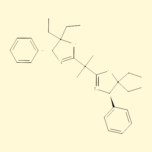 CCC1(CC)OC(C(C)(C)C2=N[C@H](c3ccccc3)C(CC)(CC)O2)=N[C@@H]1c1ccccc1